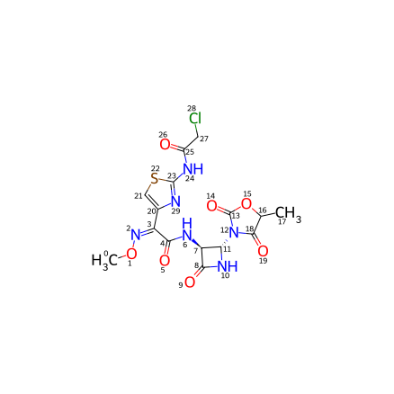 CO/N=C(\C(=O)N[C@@H]1C(=O)N[C@H]1N1C(=O)OC(C)C1=O)c1csc(NC(=O)CCl)n1